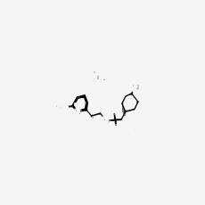 CC(C)(CC1CCC(N)CC1)NC[C@H](O)c1cccc(C#N)n1.Cl.Cl.Cl